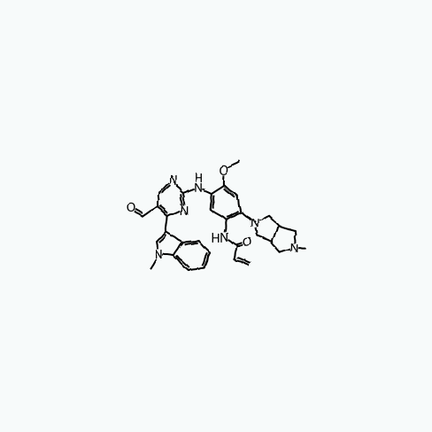 C=CC(=O)Nc1cc(Nc2ncc(C=O)c(-c3cn(C)c4ccccc34)n2)c(OC)cc1N1CC2CN(C)CC2C1